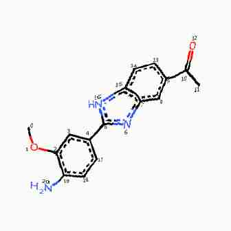 COc1cc(-c2nc3cc(C(C)=O)ccc3[nH]2)ccc1N